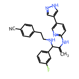 C=C(Nc1ccc(-c2cn[nH]c2)cn1)C(NCCc1ccc(C#N)cc1)c1cccc(F)c1